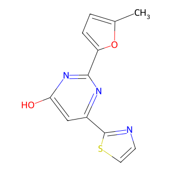 Cc1ccc(-c2nc(O)cc(-c3nccs3)n2)o1